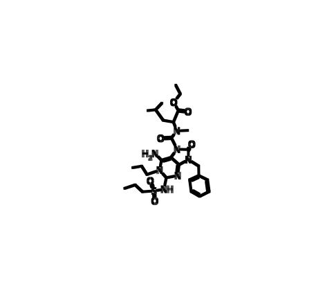 CCCN1C(N)=c2c(n(Cc3ccccc3)c(=O)n2C(=O)N(C)C(CC(C)C)C(=O)OCC)=NC1NS(=O)(=O)CCC